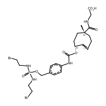 C[C@@]1(C(=O)NCC(=O)O)CC/C=C/[C@H](OC(=O)Nc2ccc(COP(=O)(NCCBr)NCCBr)cc2)CC1